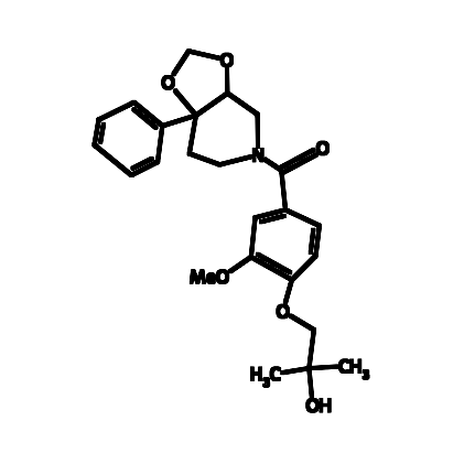 COc1cc(C(=O)N2CCC3(c4ccccc4)OCOC3C2)ccc1OCC(C)(C)O